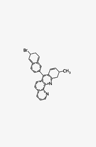 CC1C=Cc2c(nc3c(ccc4cccnc43)c2-c2ccc3c(c2)=CCC(Br)C=3)C1